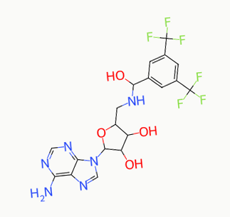 Nc1ncnc2c1ncn2C1OC(CNC(O)c2cc(C(F)(F)F)cc(C(F)(F)F)c2)C(O)C1O